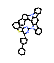 c1ccc(-c2ccc(-c3nc(-n4c5ccccc5c5cc6c7ccccc7n7c8ccc9ccccc9c8c(c54)c67)nc4c3sc3ccccc34)cc2)cc1